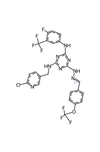 Fc1ccc(Nc2nc(NCc3ccc(Cl)nc3)nc(N/N=C/c3ccc(OC(F)(F)F)cc3)n2)cc1C(F)(F)F